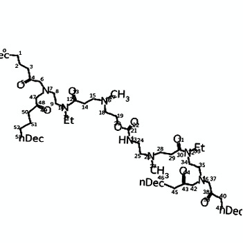 CCCCCCCCCCCCCC(=O)CN(CCN(CC)C(=O)CCN(C)CCOC(=O)NCCN(C)CCC(=O)N(CC)CCN(CC(=O)CCCCCCCCCCC)CC(=O)CCCCCCCCCCC)CC(=O)CCCCCCCCCCCCC